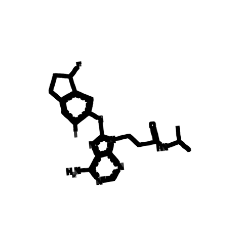 CC(C)NC(=O)CCn1c(Sc2cc3c(cc2I)CCC3F)nc2c(N)ncnc21